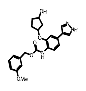 COc1cccc(COC(=O)Nc2ccc(-c3cn[nH]c3)cc2OC2CCC(O)C2)c1